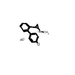 CNC1CC1c1ccccc1-c1ccc(Cl)cc1.Cl